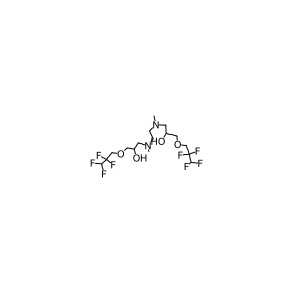 CN(CCN(C)CC(O)COCC(F)(F)C(F)F)CC(O)COCC(F)(F)C(F)F